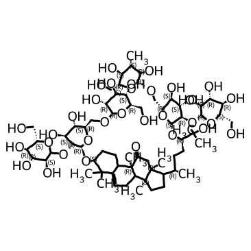 C[C@@H]1[C@@H](O)[C@H](OC[C@H]2O[C@@H](O[C@H](CC[C@@H](C)C3CC[C@@]4(C)C5CC=C6C(CC[C@H](O[C@@H]7O[C@H](CO[C@@H]8O[C@H](CO)[C@@H](O)[C@H](O)[C@H]8O)[C@@H](O)[C@H](O)[C@H]7OC7O[C@@H](CO)[C@H](O)[C@@H](O)[C@@H]7O)C6(C)C)[C@]5(C)C(=O)C[C@]34C)C(C)(C)O)[C@H](O[C@H]3O[C@@H](CO)[C@H](O)[C@@H](O)[C@@H]3O)[C@@H](O)[C@@H]2O)O[C@H](CO)[C@H]1O